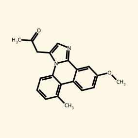 COc1ccc2c(c1)c1ncc(CC(C)=O)n1c1cccc(C)c21